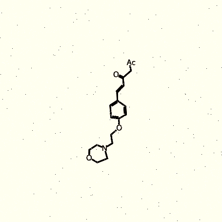 CC(=O)CC(=O)C=Cc1ccc(OCCN2CCOCC2)cc1